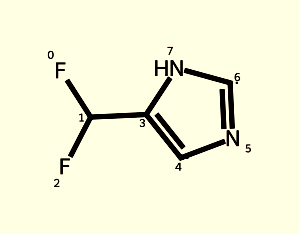 FC(F)c1[c]n[c][nH]1